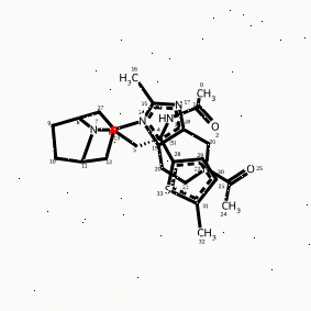 CC(=O)N[C@@H](CCN1C2CCC1CC(n1c(C)nc3c1CCN(C(C)=O)C3)C2)c1ccc(C)s1